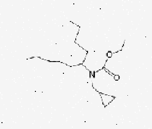 CCCCCC(CCCC)N(CC1CC1)C(=O)OCC